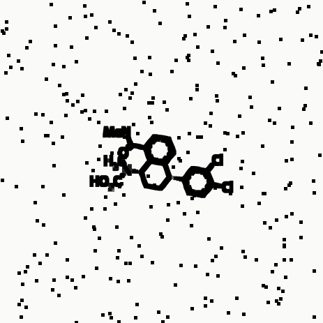 CNC(=O)c1cccc2c1[C@@H](N(C)C(=O)O)CC[C@H]2c1ccc(Cl)c(Cl)c1